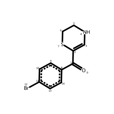 O=C(C1=CNCCS1)c1ccc(Br)cc1